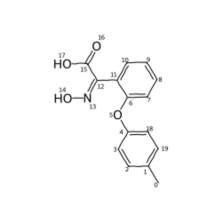 Cc1ccc(Oc2ccccc2C(=NO)C(=O)O)cc1